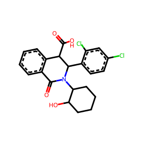 O=C(O)C1c2ccccc2C(=O)N(C2CCCCC2O)C1c1ccc(Cl)cc1Cl